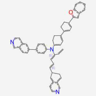 C=C/C(=C\C=C\C1C=c2ccncc2=CC1)N(C1=CC=C(C2=CC=C(c3cc4ccccc4o3)CC2)CC1)c1ccc(-c2ccc3cnccc3c2)cc1